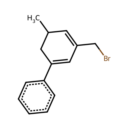 CC1C=C(CBr)C=C(c2ccccc2)C1